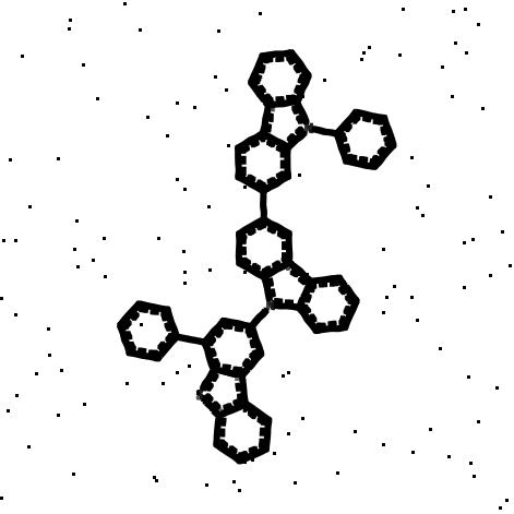 c1ccc(-c2cc(-n3c4ccccc4c4cc(-c5ccc6c7ccccc7n(-c7ccccc7)c6c5)ccc43)cc3c2sc2ccccc23)cc1